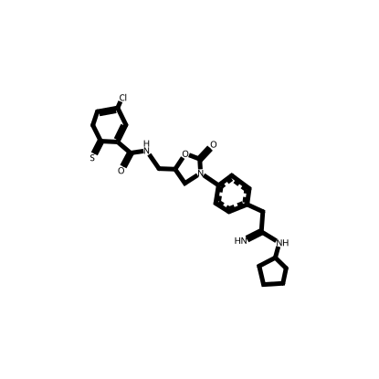 N=C(Cc1ccc(N2CC(CNC(=O)C3=CC(Cl)=CCC3=S)OC2=O)cc1)NC1CCCC1